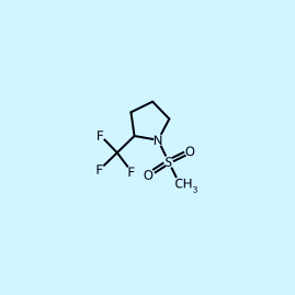 CS(=O)(=O)N1CCCC1C(F)(F)F